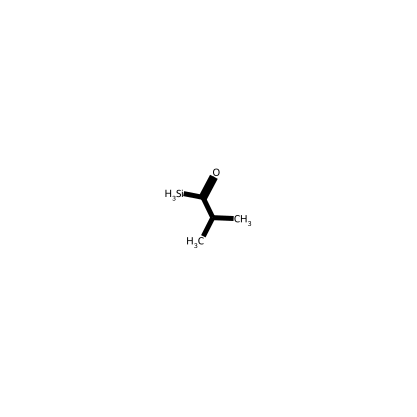 CC(C)C(=O)[SiH3]